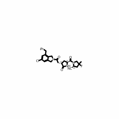 CC(C)Cc1cc(Cl)cc2c1CN(C(=O)C[C@@H]1C[C@@H](C(=O)N3CC(C)(F)C[C@H]3C#N)NC1=O)C2